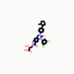 CC1CCCC=C1c1ccc(N(Cc2ccc(C(=O)NCC(O)C(=O)O)cc2)C(=O)Nc2cc(Cl)cc(Cl)c2)cc1